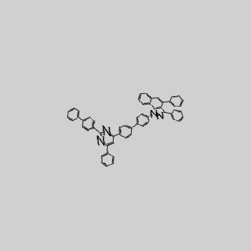 c1ccc(-c2ccc(-c3nc(-c4ccccc4)cc(-c4ccc(-c5ccc(-n6nc(-c7ccccc7)c7c(-c8ccccc8)cc8ccccc8c76)cc5)cc4)n3)cc2)cc1